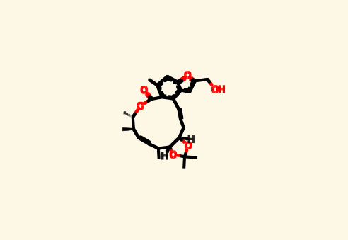 Cc1cc2oc(CO)cc2c2c1C(=O)O[C@@H](C)[C@H](C)/C=C\C(C)[C@H]1OC(C)(C)O[C@H]1C/C=C/2